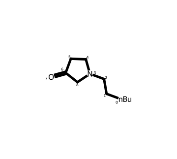 CCCCCCN1CCC(=O)C1